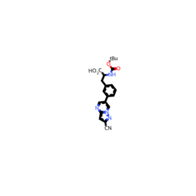 CC(C)(C)OC(=O)NC(Cc1cccc(-c2cnc3cc(C#N)nn3c2)c1)C(=O)O